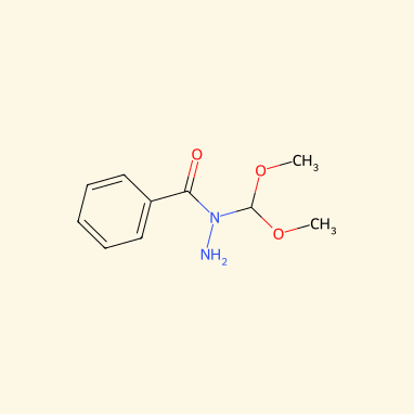 COC(OC)N(N)C(=O)c1ccccc1